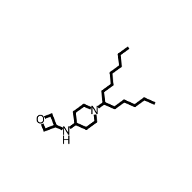 CCCCCCC(CCCCC)N1CCC(NC2COC2)CC1